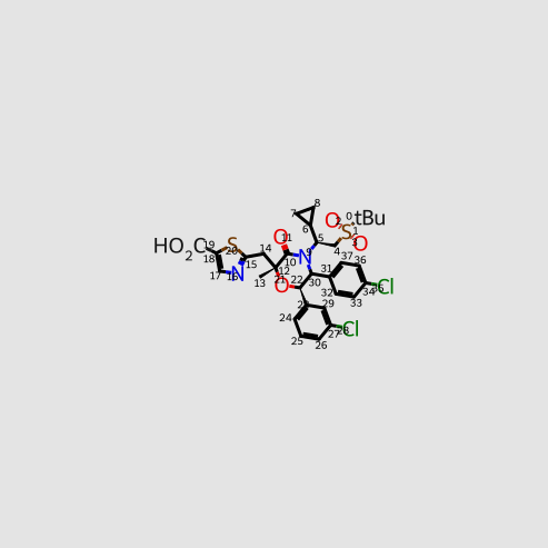 CC(C)(C)S(=O)(=O)C[C@H](C1CC1)N1C(=O)[C@@](C)(Cc2ncc(C(=O)O)s2)O[C@H](c2cccc(Cl)c2)C1c1ccc(Cl)cc1